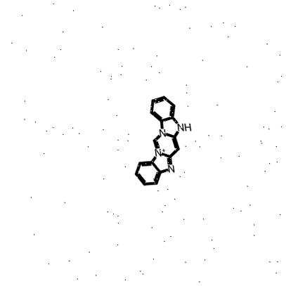 c1ccc2c(c1)nc1cc3[nH]c4ccccc4n3c[n+]2-1